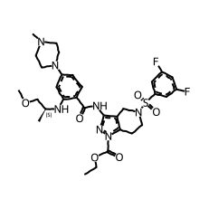 CCOC(=O)n1nc(NC(=O)c2ccc(N3CCN(C)CC3)cc2N[C@@H](C)COC)c2c1CCN(S(=O)(=O)c1cc(F)cc(F)c1)C2